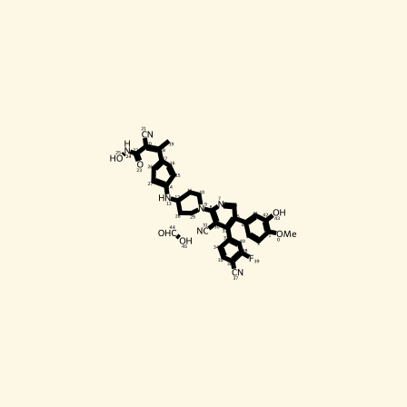 COc1ccc(-c2cnc(N3CCC(Nc4ccc(C(C)=C(C#N)C(=O)NO)cc4)CC3)c(C#N)c2-c2ccc(C#N)c(F)c2)cc1O.O=CO